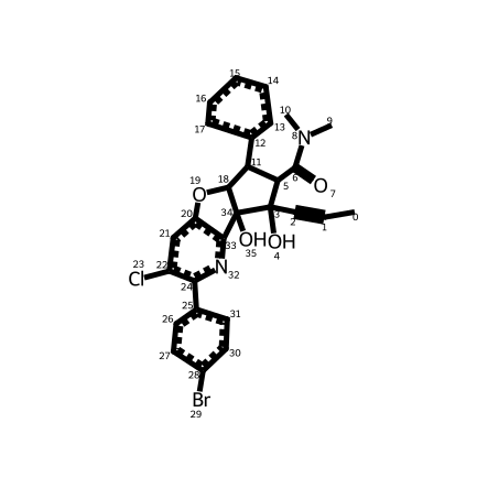 CC#CC1(O)C(C(=O)N(C)C)C(c2ccccc2)C2Oc3cc(Cl)c(-c4ccc(Br)cc4)nc3C21O